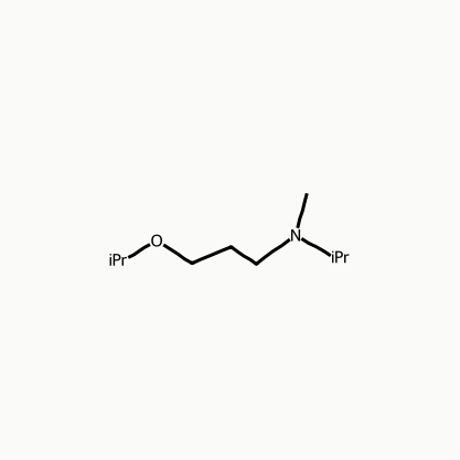 CC(C)OCCCN(C)C(C)C